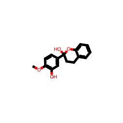 COc1ccc(C2(O)CCc3ccccc3O2)cc1O